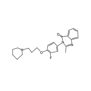 Cc1nc2ccccc2c(=O)n1-c1ccc(OCCCN2CCCCC2)c(F)c1